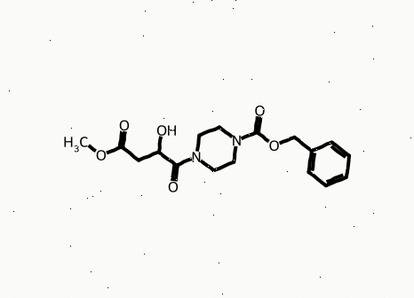 COC(=O)CC(O)C(=O)N1CCN(C(=O)OCc2ccccc2)CC1